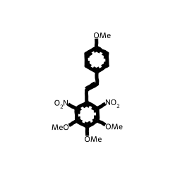 COc1ccc(C=Cc2c([N+](=O)[O-])c(OC)c(OC)c(OC)c2[N+](=O)[O-])cc1